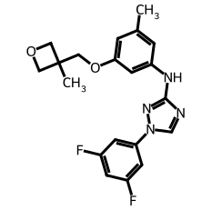 Cc1cc(Nc2ncn(-c3cc(F)cc(F)c3)n2)cc(OCC2(C)COC2)c1